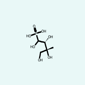 C[C@@](O)(CO)[C@@H](O)C(O)P(=O)(O)O